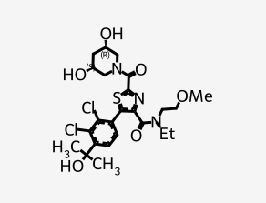 CCN(CCOC)C(=O)c1nc(C(=O)N2C[C@H](O)C[C@H](O)C2)sc1-c1ccc(C(C)(C)O)c(Cl)c1Cl